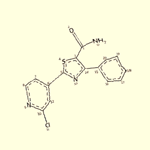 NC(=O)c1sc(-c2ccnc(Cl)c2)nc1-c1ccccc1